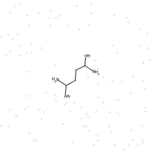 CCCC(N)[CH]CC(N)CCC